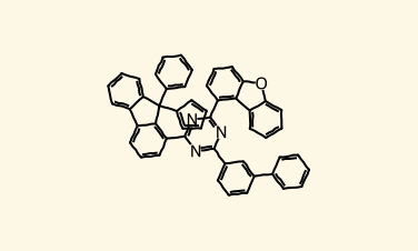 C1=CC=CC=1C1(c2ccccc2)c2ccccc2-c2cccc(-c3nc(-c4cccc(-c5ccccc5)c4)nc(-c4cccc5oc6ccccc6c45)n3)c21